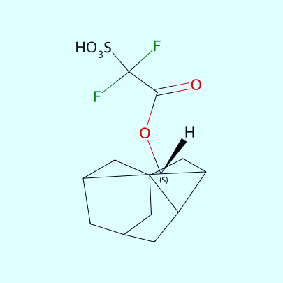 O=C(O[C@H]1C2CC3CC4C1CC4(C3)C2)C(F)(F)S(=O)(=O)O